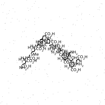 CC(C)C[C@H](N)C(=O)O.CC(C)[C@H](N)C(=O)O.CC[C@H](C)[C@H](N)C(=O)O.CSCC[C@H](N)C(=O)O.C[C@@H](O)[C@H](N)C(=O)O.C[C@H](N)C(=O)O.N.NCC(=O)O.NCCCC[C@H](N)C(=O)O.N[C@@H](CCC(=O)O)C(=O)O.N[C@@H](CO)C(=O)O.N[C@@H](CSSC[C@H](N)C(=O)O)C(=O)O.N[C@@H](Cc1c[nH]cn1)C(=O)O.O=C(O)[C@@H]1CCCN1